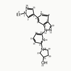 CCn1cc(-c2cc3c(cn2)cnn3-c2cccc(N3CCC(O)C3)n2)cn1